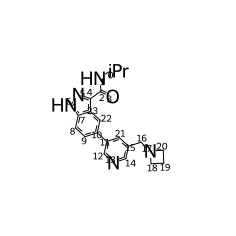 CC(C)NC(=O)c1n[nH]c2ccc(-c3cncc(CN4CCC4)c3)cc12